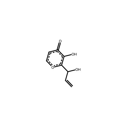 C=CC(O)c1occc(=O)c1O